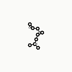 c1ccc(-c2cc(-c3ccccc3)nc(-c3ccc(-c4ccc5c(c4)c4ccccc4n5-c4cccc(-c5ccc6oc7ccccc7c6c5)c4)cc3)c2)cc1